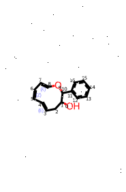 OC1C/C=C/C=C\C=C\OC1c1ccccc1